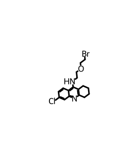 Clc1ccc2c(NCCOCCBr)c3c(nc2c1)CCCC3